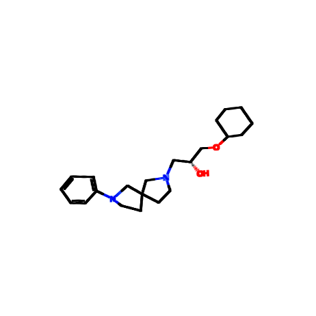 O[C@@H](COC1CCCCC1)CN1CCC2(CCN(c3ccccc3)C2)C1